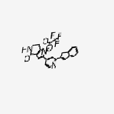 O=C1NCCc2c1cc(-c1ccnc(C3=Cc4ccccc4C3)c1)n2OC(=O)C(F)(F)F